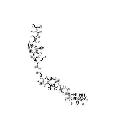 COc1cc2c(cc1OCCCCCOc1cc3c(cc1OC)C(=O)N1C=C(c4ccc(C(=O)O)cc4)C[C@H]1C=N3)N=C[C@@H]1CC(c3ccc(NC(=O)[C@H](C)NC(=O)[C@@H](N)C(C)C)cc3)=CN1C2=O